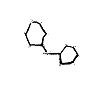 C1CCC(N[C]2CCOCC2)CC1